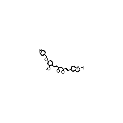 COc1cc(OCc2ccncc2)ccc1C=CC(=O)CC(=O)C=Cc1ccc2[nH]ccc2c1